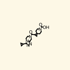 O=C(O)N1CCC2(CC1)CC2C(=O)N1CCn2c(nnc2C2CC2)C1